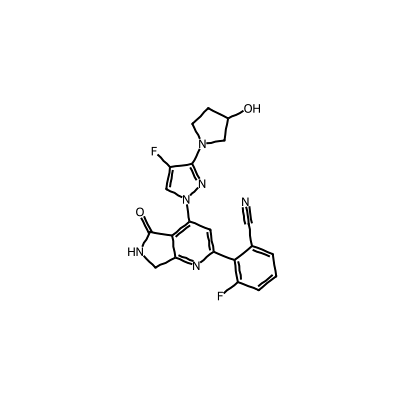 N#Cc1cccc(F)c1-c1cc(-n2cc(F)c(N3CCC(O)C3)n2)c2c(n1)CNC2=O